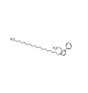 CCCCCCCCCCCCCCCCCC[n+]1ccn(-c2ccccc2)c1CC